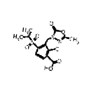 Cc1nn(Cc2c(S(=O)(=O)C(C)C)ccc(C(=O)O)c2Cl)c(=O)o1